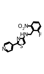 O=[N+]([O-])c1cccc(F)c1CNc1csc(-c2ccncc2)n1